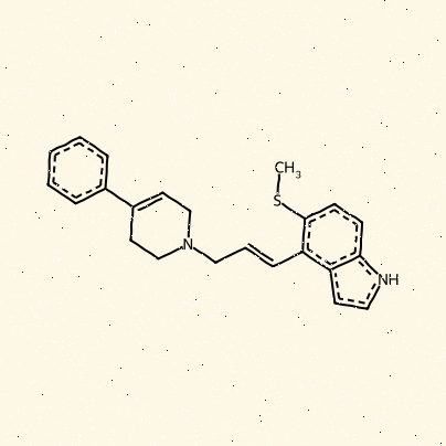 CSc1ccc2[nH]ccc2c1C=CCN1CC=C(c2ccccc2)CC1